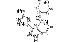 CC(C)c1n[nH]c(-c2n[nH]c3ccnc(OC4CCOCC4)c23)n1